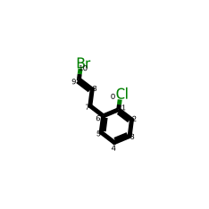 Clc1ccccc1C/C=C/Br